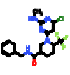 CNc1nc(Cl)cc(N2CC(C(=O)NCc3ccccc3)CCC2C(F)(F)F)n1